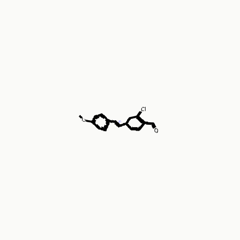 COc1ccc(/C=C/C2C=CC(C=O)=C(Cl)C2)cc1